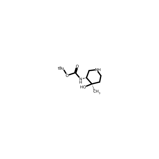 CC(C)(C)OC(=O)N[C@@H]1CNCC[C@@]1(C)O